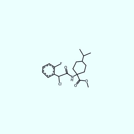 COC(=O)C1(NC(=O)C(Cl)c2ccccc2F)CCC(C(C)C)CC1